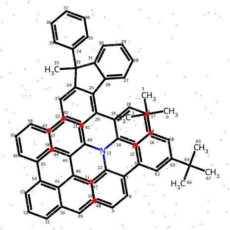 CC(C)(C)c1cc(-c2ccccc2N(c2ccccc2-c2cccc3c2-c2ccccc2C3(C)c2ccccc2)c2ccccc2-c2cccc3cccc(-c4ccccc4)c23)cc(C(C)(C)C)c1